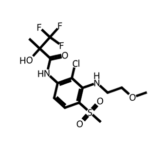 COCCNc1c(S(C)(=O)=O)ccc(NC(=O)C(C)(O)C(F)(F)F)c1Cl